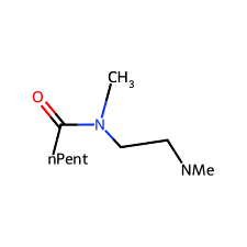 CCCCCC(=O)N(C)CCNC